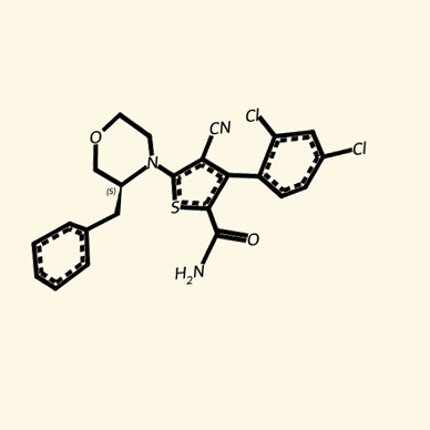 N#Cc1c(N2CCOC[C@@H]2Cc2ccccc2)sc(C(N)=O)c1-c1ccc(Cl)cc1Cl